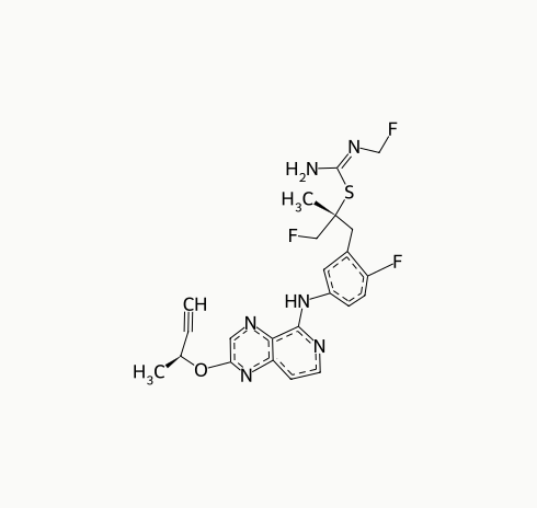 C#C[C@H](C)Oc1cnc2c(Nc3ccc(F)c(C[C@](C)(CF)S/C(N)=N\CF)c3)nccc2n1